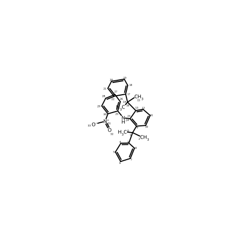 CC(C)(c1ccccc1)c1cccc(C(C)(C)c2ccccc2)c1Nc1ccccc1[N+](=O)[O-]